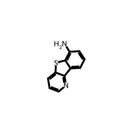 Nc1cccc2c1sc1cccnc12